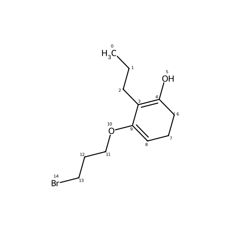 CCCC1=C(O)[CH]CC=C1OCCCBr